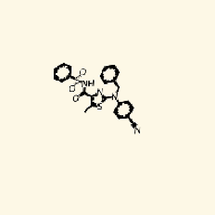 Cc1sc(N(Cc2ccccc2)c2ccc(C#N)cc2)nc1C(=O)NS(=O)(=O)c1ccccc1